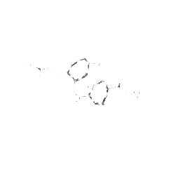 C=C(Cl)COc1ccc(Br)cc1CN(CC)c1ccc(C(=O)OC)cn1